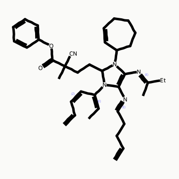 C=C/C=C\C(=C/C)N1C(/N=C/CCC=C)=C(/N=C(\C)CC)N(C2C=CCCCC2)C1CCC(C)(C#N)C(=O)Oc1ccccc1